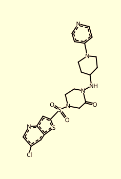 O=C1CN(S(=O)(=O)c2cc3ncc(Cl)cc3s2)CCN1NC1CCN(c2ccncc2)CC1